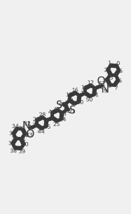 c1ccc2c(c1)ccc1nc(-c3ccc(-c4ccc5c(c4)sc4c6ccc(-c7ccc(-c8nc9ccc%10ccccc%10c9o8)cc7)cc6sc54)cc3)oc12